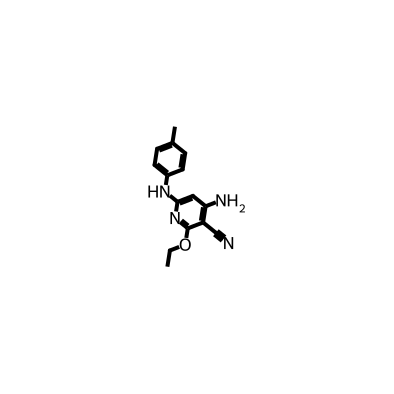 CCOc1nc(Nc2ccc(C)cc2)cc(N)c1C#N